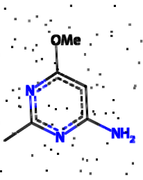 COc1cc(N)nc(C)n1